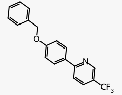 FC(F)(F)c1ccc(-c2ccc(OCc3ccccc3)cc2)nc1